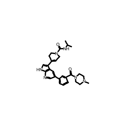 CC(C)NC(=O)N1CC=C(c2c[nH]c3ncc(-c4cccc(C(=O)N5CCN(C)CC5)c4)cc23)CC1